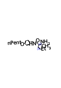 CC/C=C\C(C(=O)NCc1ccc(OCCCCC)cc1)=C(/C)N